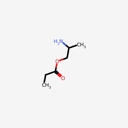 CCC(=O)OCC(C)N